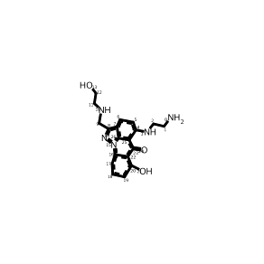 NCCNc1ccc2c(CNCCO)nn3c4cccc(O)c4c(=O)c1c23